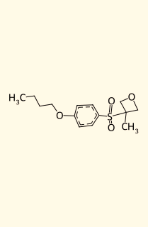 CCCCOc1ccc(S(=O)(=O)C2(C)COC2)cc1